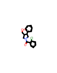 O=C(c1ccccc1Cl)N1CC(CO)C(c2ccccc2)C1